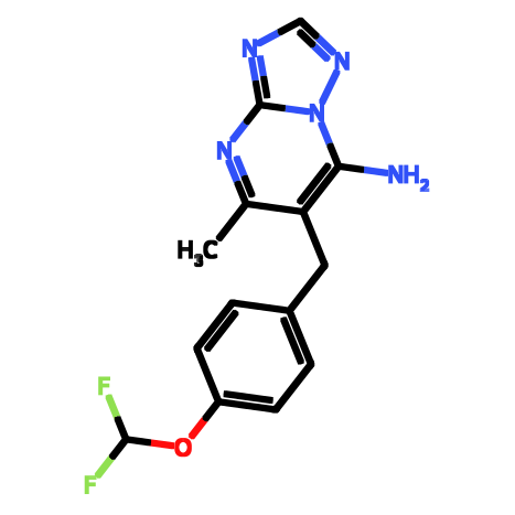 Cc1nc2ncnn2c(N)c1Cc1ccc(OC(F)F)cc1